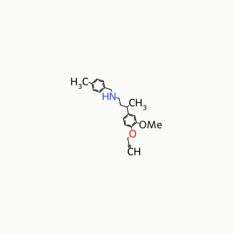 C#CCOc1ccc(C(C)CCNCc2ccc(C)cc2)cc1OC